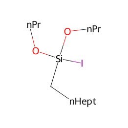 CCCCCCCC[Si](I)(OCCC)OCCC